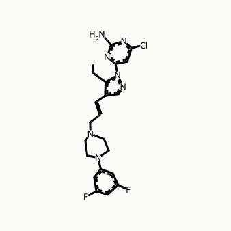 CCc1c(C=CCN2CCN(c3cc(F)cc(F)c3)CC2)cnn1-c1cc(Cl)nc(N)n1